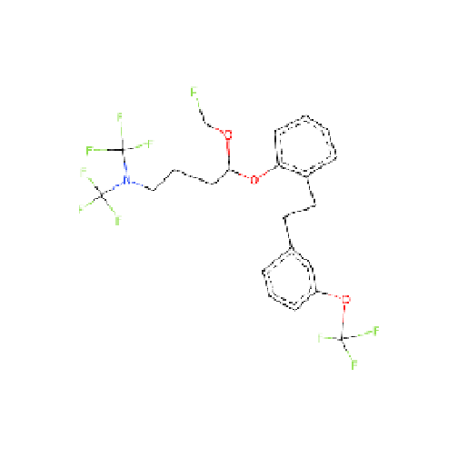 FCOC(CCCN(C(F)(F)F)C(F)(F)F)Oc1ccccc1CCc1cccc(OC(F)(F)F)c1